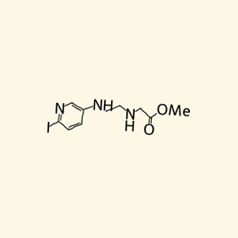 COC(=O)CNCCNc1ccc(I)nc1